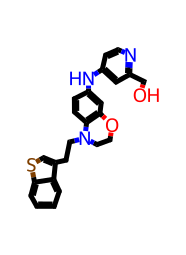 OCc1cc(Nc2ccc3c(c2)OCCN3CCc2csc3ccccc23)ccn1